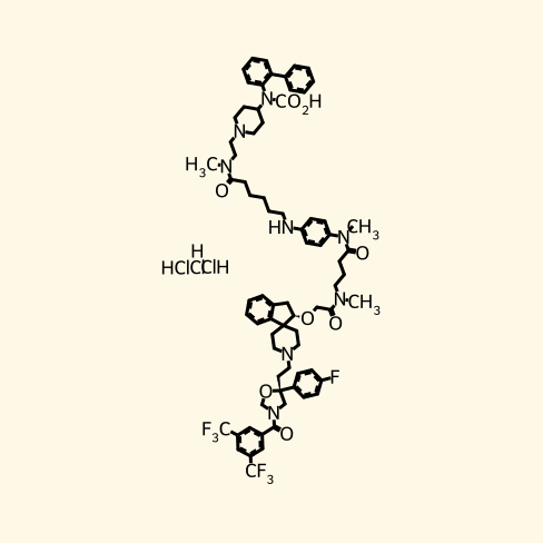 CN(CCN1CCC(N(C(=O)O)c2ccccc2-c2ccccc2)CC1)C(=O)CCCCCNc1ccc(N(C)C(=O)CCCN(C)C(=O)CO[C@H]2Cc3ccccc3C23CCN(CC[C@@]2(c4ccc(F)cc4)CN(C(=O)c4cc(C(F)(F)F)cc(C(F)(F)F)c4)CO2)CC3)cc1.Cl.Cl.Cl